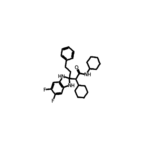 O=C(NC1CCCCC1)C(C1CCCCC1)C1(CCc2ccccc2)Nc2cc(F)c(F)cc2N1